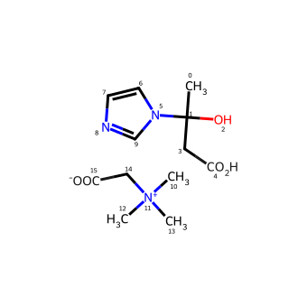 CC(O)(CC(=O)O)n1ccnc1.C[N+](C)(C)CC(=O)[O-]